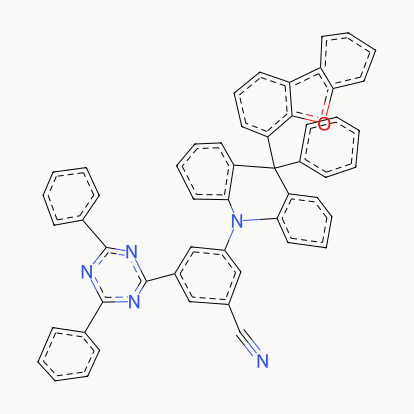 N#Cc1cc(-c2nc(-c3ccccc3)nc(-c3ccccc3)n2)cc(N2c3ccccc3C(c3ccccc3)(c3cccc4c3oc3ccccc34)c3ccccc32)c1